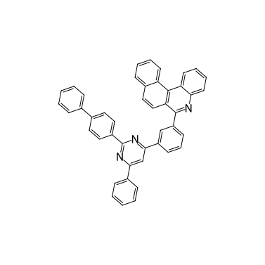 c1ccc(-c2ccc(-c3nc(-c4ccccc4)cc(-c4cccc(-c5nc6ccccc6c6c5ccc5ccccc56)c4)n3)cc2)cc1